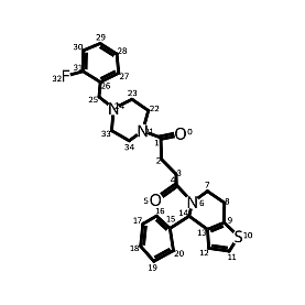 O=C(CCC(=O)N1CCc2sccc2C1c1ccccc1)N1CCN(Cc2ccccc2F)CC1